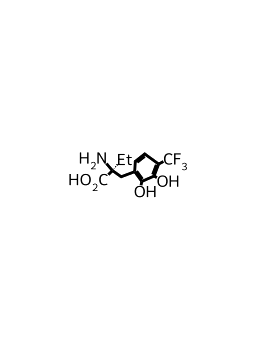 CC[C@](N)(Cc1ccc(C(F)(F)F)c(O)c1O)C(=O)O